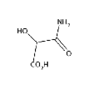 NC(=O)C(O)C(=O)O